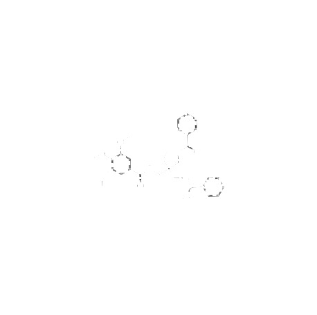 CCC(COC(=O)c1ccccc1)(COC(=O)c1ccccc1)COC(=O)c1cc(OC)c(OC)c(OC)c1